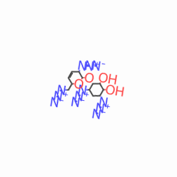 [N-]=[N+]=NCC1C=CC(N=[N+]=[N-])[C@@H](O[C@@H]2C(N=[N+]=[N-])C[C@@H](N=[N+]=[N-])C(O)C2O)O1